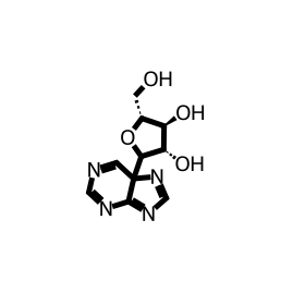 OC[C@H]1OC(C23C=NC=NC2=NC=N3)[C@@H](O)[C@@H]1O